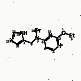 CCOc1nccc(N(Cc2cnc[nH]2)C(C)C)n1